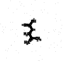 C=C(C)[SiH2]OC(=O)O